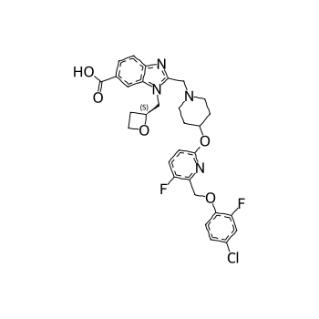 O=C(O)c1ccc2nc(CN3CCC(Oc4ccc(F)c(COc5ccc(Cl)cc5F)n4)CC3)n(C[C@@H]3CCO3)c2c1